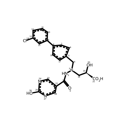 O=C(NN(Cc1ccc(-c2cccc(Cl)c2)cc1)C[C@@H](O)C(=O)O)c1cnc(O)nc1